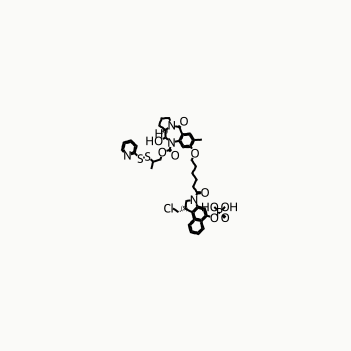 Cc1cc2c(cc1OCCCCCC(=O)N1C[C@@H](CCl)c3c1cc(OP(=O)(O)O)c1ccccc31)N(C(=O)OCC(C)SSc1ccccn1)C(O)[C@@H]1CCCN1C2=O